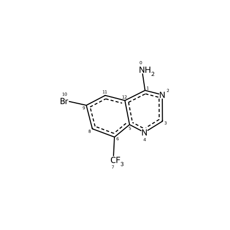 Nc1ncnc2c(C(F)(F)F)cc(Br)cc12